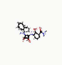 CN(C)C(=O)c1cccc(Nc2c(N[C@@H]3CCCc4ccccc43)c(=O)c2=O)c1O